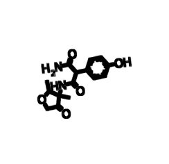 CC1OCC(=O)C1(C)NC(=O)C(C(N)=O)c1ccc(O)cc1